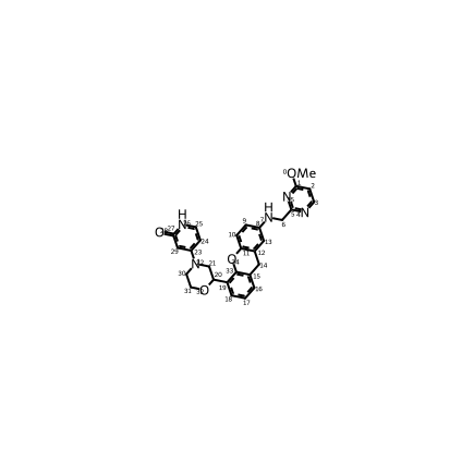 COc1ccnc(CNc2ccc3c(c2)Cc2cccc(C4CN(c5cc[nH]c(=O)c5)CCO4)c2O3)n1